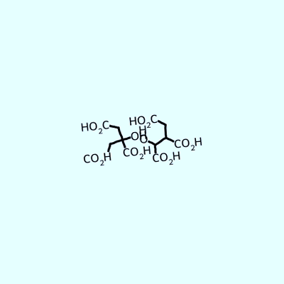 O=C(O)CC(C(=O)O)C(O)C(=O)O.O=C(O)CC(O)(CC(=O)O)C(=O)O